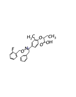 CCC(Oc1ccc(/C(Cc2ccccc2)=N/OCc2ccccc2F)cc1C)C(=O)O